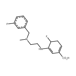 CN(CCNC1=CC(C(=O)O)=CCC1F)Cc1cccc(F)c1